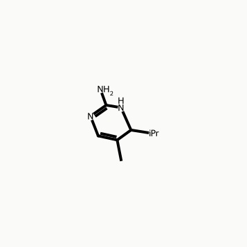 CC1=CN=C(N)NC1C(C)C